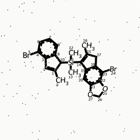 CC1=Cc2c(Br)cccc2C1[Si](C)(C)C1=C(C)Cc2c1cc1c(c2Br)OCO1